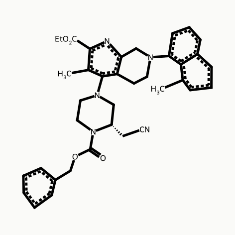 CCOC(=O)c1nc2c(c(N3CCN(C(=O)OCc4ccccc4)[C@@H](CC#N)C3)c1C)CCN(c1cccc3cccc(C)c13)C2